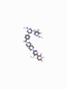 Cc1cc(N2CCC3(CCN(C(=O)c4ccc([C@H]5C[C@@H](Nc6cnn(C)c(=O)c6Br)CN(C)C5)cc4)CC3)CC2)cnc1C1CCC(=O)NC1=O